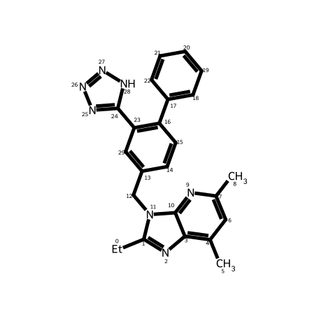 CCc1nc2c(C)cc(C)nc2n1Cc1ccc(-c2ccccc2)c(-c2nnn[nH]2)c1